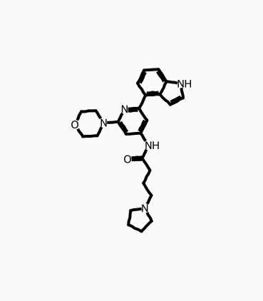 O=C(CCCN1CCCC1)Nc1cc(-c2cccc3[nH]ccc23)nc(N2CCOCC2)c1